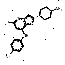 Cc1ccc(Nc2cc(N)nn3cc([C@H]4CC[C@H](N)CC4)nc23)cc1